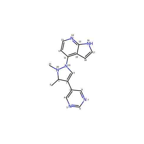 CC1C(c2cncnc2)=CN(c2ccnc3[nH]ccc23)N1C